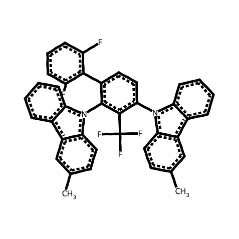 Cc1ccc2c(c1)c1ccccc1n2-c1ccc(-c2c(F)cccc2F)c(-n2c3ccccc3c3cc(C)ccc32)c1C(F)(F)F